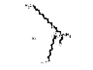 CCCCCCCCCCOCC(C[N+](C)(C)CCO)OCCCCCCCCCC.[Br-]